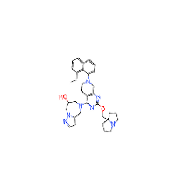 CCc1cccc2cccc(N3CCc4c(nc(OCC56CCCN5CCC6)nc4N4Cc5ccnn5CC(O)C4)C3)c12